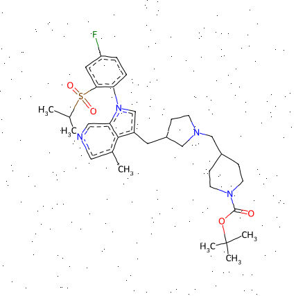 Cc1cncc2c1c(CC1CCN(CC3CCN(C(=O)OC(C)(C)C)CC3)C1)cn2-c1ccc(F)cc1S(=O)(=O)C(C)C